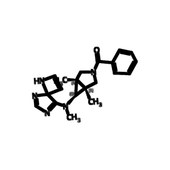 CN(C1=NC=NC12C=CN2)[C@H]1[C@]2(C)CN(C(=O)c3ccccc3)C[C@]12C